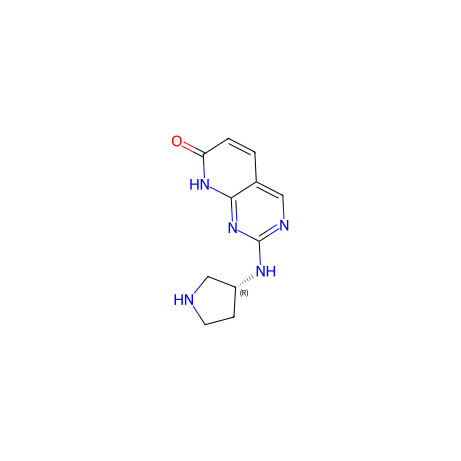 O=c1ccc2cnc(N[C@@H]3CCNC3)nc2[nH]1